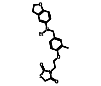 CCN(Cc1ccc(OCCN2C(=O)CSC2=O)c(C)c1)c1ccc2c(c1)CCO2